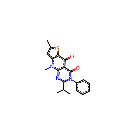 Cc1cc2c(s1)c(=O)c1c(=O)n(-c3ccccc3)c(C(C)C)nc1n2C